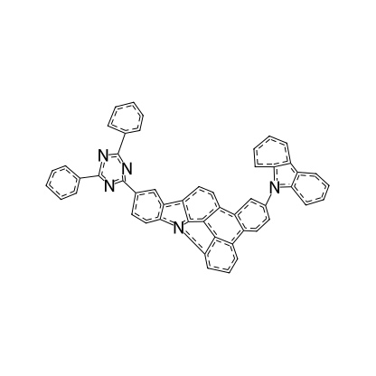 c1ccc(-c2nc(-c3ccccc3)nc(-c3ccc4c(c3)c3ccc5c6cc(-n7c8ccccc8c8ccccc87)ccc6c6cccc7c6c5c3n47)n2)cc1